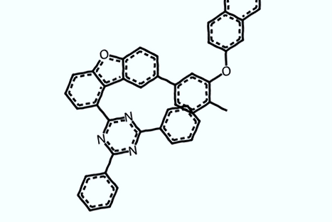 Cc1ccc(-c2ccc3oc4cccc(-c5nc(-c6ccccc6)nc(-c6ccccc6)n5)c4c3c2)cc1Oc1ccc2ccccc2c1